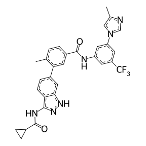 Cc1cn(-c2cc(NC(=O)c3ccc(C)c(-c4ccc5c(NC(=O)C6CC6)n[nH]c5c4)c3)cc(C(F)(F)F)c2)cn1